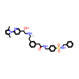 Cc1ccc(C)n1-c1ccc([C@H](O)CN[C@H](C)Cc2cccc(CC(=O)NCc3ccc(S(=O)(=O)NCc4ccccc4)cc3)c2)cn1